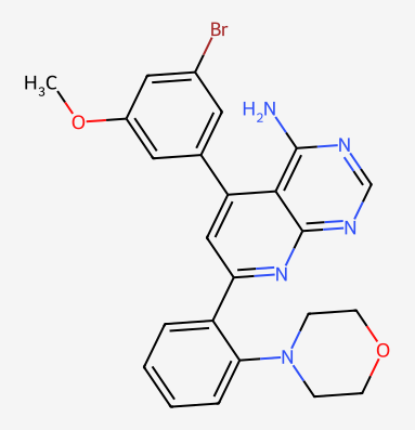 COc1cc(Br)cc(-c2cc(-c3ccccc3N3CCOCC3)nc3ncnc(N)c23)c1